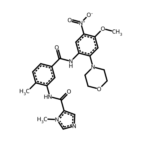 COc1cc(N2CCOCC2)c(NC(=O)c2ccc(C)c(NC(=O)c3cncn3C)c2)cc1[N+](=O)[O-]